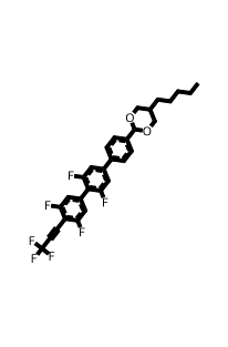 CCCCCC1COC(c2ccc(-c3cc(F)c(-c4cc(F)c(C#CC(F)(F)F)c(F)c4)c(F)c3)cc2)OC1